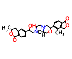 Cc1c([C@@H]2CN3CCN(CC(O)c4ccc5c(c4)C[C@@H](C)OC5=O)C[C@H]3CO2)ccc2c1COC2=O